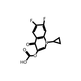 O=C(O)Oc1cn(C2CC2)c2cc(F)c(F)cc2c1=O